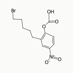 O=C(O)Oc1ccc([N+](=O)[O-])cc1CCCCCBr